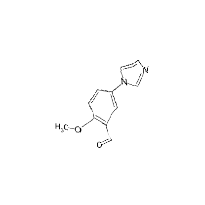 COc1ccc(-n2ccnc2)cc1C=O